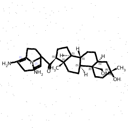 COC[C@]12CC[C@@](C)(O)C[C@@H]1CC[C@H]1[C@@H]3CC[C@H](C(=O)CN(N)/C4=C(/N)C/C=C\CCC4)[C@@]3(C)CC[C@@H]12